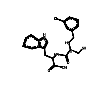 O=C(O)C(Cc1c[nH]c2ccccc12)NC(=O)[C@H](CS)NCc1cccc(Cl)c1